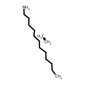 C=C.CCCCCCCCCCCCN